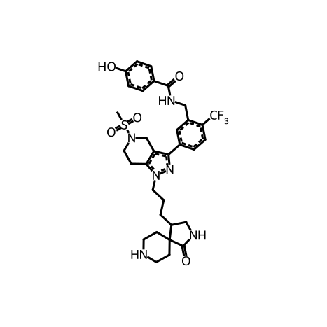 CS(=O)(=O)N1CCc2c(c(-c3ccc(C(F)(F)F)c(CNC(=O)c4ccc(O)cc4)c3)nn2CCCC2CNC(=O)C23CCNCC3)C1